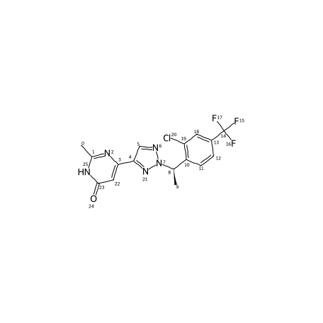 Cc1nc(-c2cnn([C@H](C)c3ccc(C(F)(F)F)cc3Cl)n2)cc(=O)[nH]1